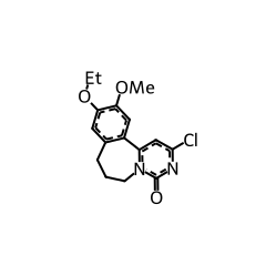 CCOc1cc2c(cc1OC)-c1cc(Cl)nc(=O)n1CCC2